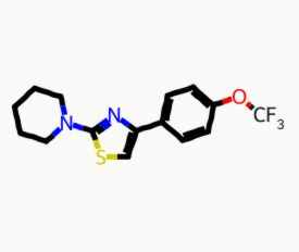 FC(F)(F)Oc1ccc(-c2csc(N3CCCCC3)n2)cc1